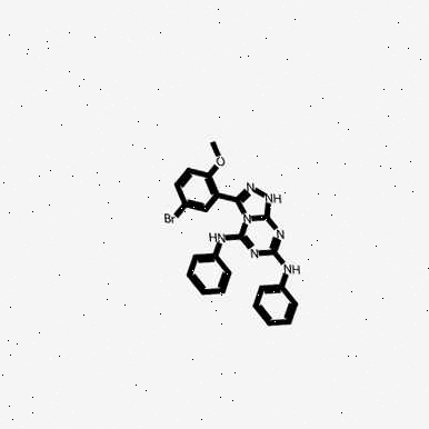 COc1ccc(Br)cc1C1=NNC2N=C(Nc3ccccc3)N=C(Nc3ccccc3)N12